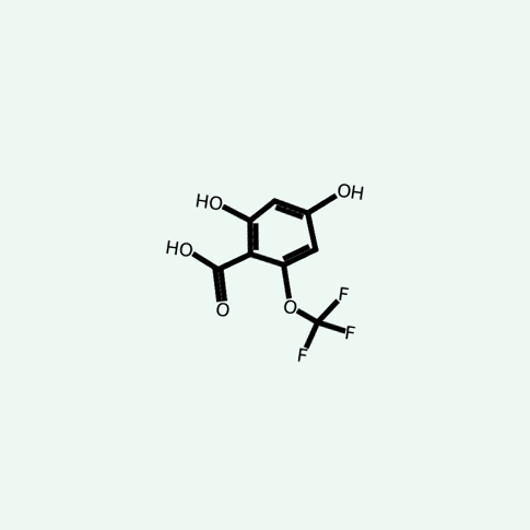 O=C(O)c1c(O)cc(O)cc1OC(F)(F)F